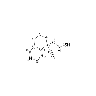 N#CC1(ONS)CCCc2cnccc21